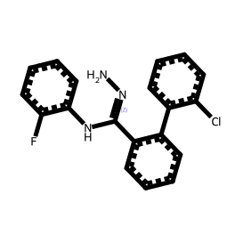 N/N=C(\Nc1ccccc1F)c1ccccc1-c1ccccc1Cl